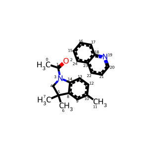 CC(=O)N1CC(C)(C)c2cc(C)ccc21.c1ccc2ncccc2c1